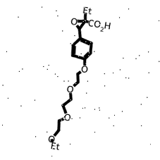 CCOCCOCCOCCOc1ccc(C2OC2(CC)C(=O)O)cc1